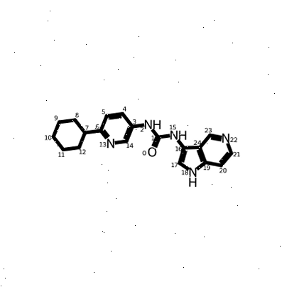 O=C(Nc1ccc(C2CCCCC2)nc1)Nc1c[nH]c2ccncc12